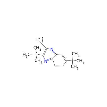 CC(C)(C)c1ccc2nc(C(C)(C)C)c(C3CC3)nc2c1